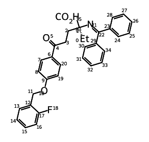 CC[C@@](CCC(=O)c1ccc(OCc2ccccc2F)cc1)(N=C(c1ccccc1)c1ccccc1)C(=O)O